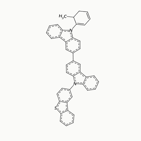 CC1CC=CC=C1n1c2ccccc2c2cc(-c3ccc4c(c3)c3ccccc3n4-c3ccc4sc5ccccc5c4c3)ccc21